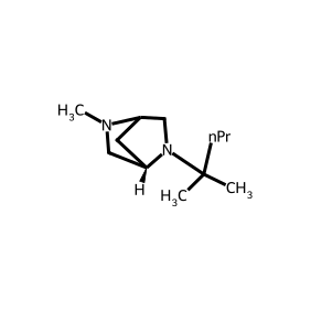 CCCC(C)(C)N1CC2C[C@H]1CN2C